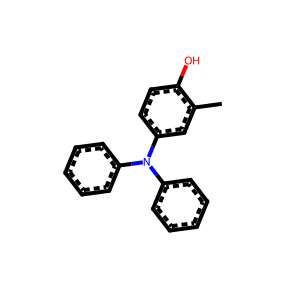 Cc1cc(N(c2ccccc2)c2ccccc2)ccc1O